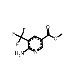 COC(=O)c1cnc(N)c(C(F)(F)F)c1